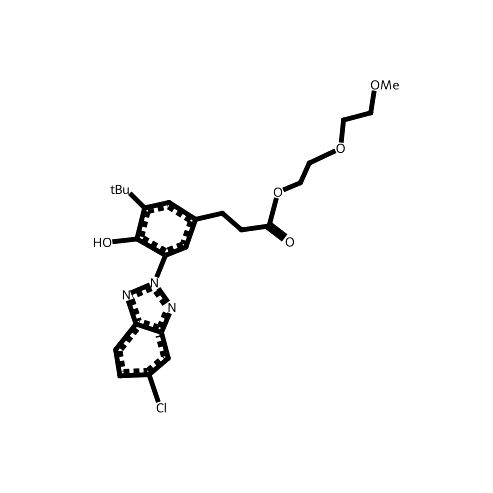 COCCOCCOC(=O)CCc1cc(-n2nc3ccc(Cl)cc3n2)c(O)c(C(C)(C)C)c1